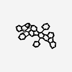 c1ccc(-c2c3cc4c5ccccc5c5cccc(c3c(-c3ccccc3)c3c6cccc7c8c(cc(c23)c76)-c2ccccc2[Si]82c3ccccc3-c3ccccc32)c54)cc1